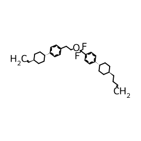 C=CCC[C@H]1CC[C@H](c2ccc(C(F)(F)OCCc3ccc([C@H]4CC[C@H](C=C)CC4)cc3)cc2)CC1